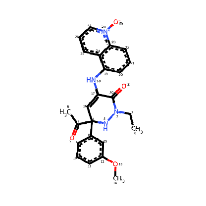 CCN1NC(C(C)=O)(c2cccc(OC)c2)C=C(Nc2cccc3c2ccc[n+]3[O-])C1=O